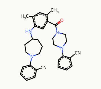 Cc1cc(C)c(C(=O)N2CCN(c3ccccc3C#N)CC2)cc1NC1CCCN(c2ccccc2C#N)CC1